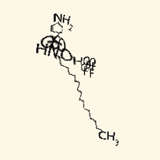 CCCCCCCCCCCCCCCCCC(=O)NS(=O)(=O)c1ccc(N)cc1.O=S(=O)(O)C(F)(F)F